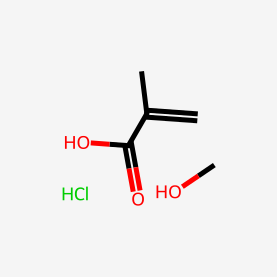 C=C(C)C(=O)O.CO.Cl